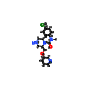 CN(C(=O)N1CCNCC1COc1cccnc1)c1ccc(Cl)cc1